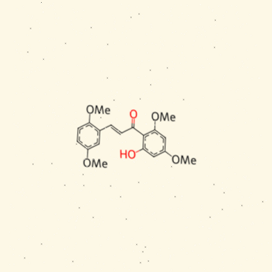 COc1ccc(OC)c(C=CC(=O)c2c(O)cc(OC)cc2OC)c1